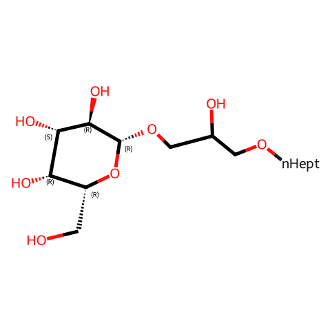 CCCCCCCOCC(O)CO[C@@H]1O[C@H](CO)[C@H](O)[C@H](O)[C@H]1O